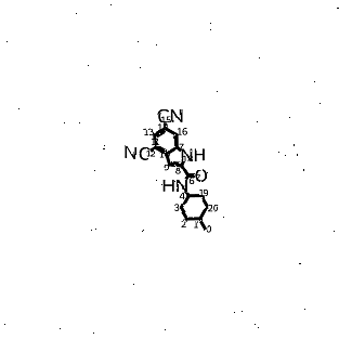 CC1CCC(NC(=O)c2cc3c(C#N)cc(C#N)cc3[nH]2)CC1